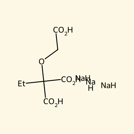 CCC(OCC(=O)O)(C(=O)O)C(=O)O.[NaH].[NaH].[NaH]